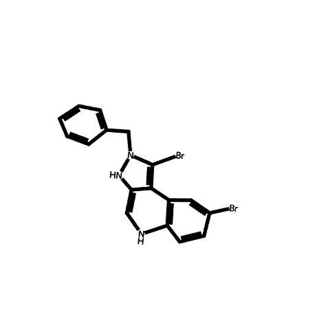 BrC1=C2C(=CNc3ccc(Br)cc32)NN1Cc1ccccc1